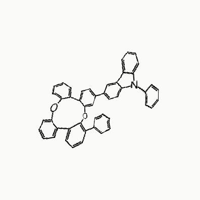 c1ccc(-c2cccc3c2Oc2cc(-c4ccc5c(c4)c4ccccc4n5-c4ccccc4)ccc2-c2ccccc2Oc2ccccc2-3)cc1